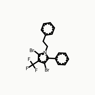 FC(F)(F)c1c(Br)c(-c2ccccc2)n(CCc2ccccc2)c1Br